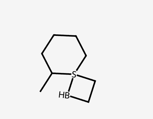 CC1CCCCS12BCC2